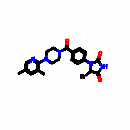 Cc1cnc(N2CCN(C(=O)c3ccc(N4C(=O)NC(=O)C4C(C)C)cc3)CC2)c(C)c1